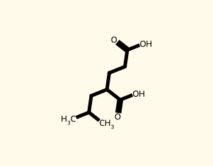 CC(C)CC(CCC(=O)O)C(=O)O